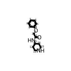 O=C(COc1ccccc1)NC1CCNCC1